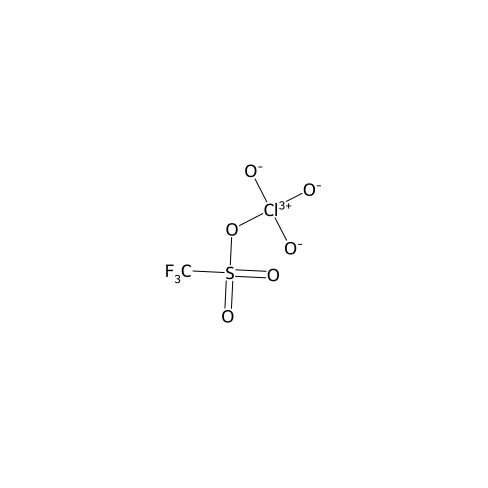 O=S(=O)(O[Cl+3]([O-])([O-])[O-])C(F)(F)F